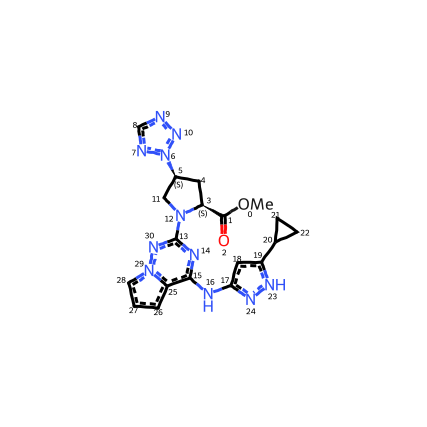 COC(=O)[C@@H]1C[C@H](n2ncnn2)CN1c1nc(Nc2cc(C3CC3)[nH]n2)c2cccn2n1